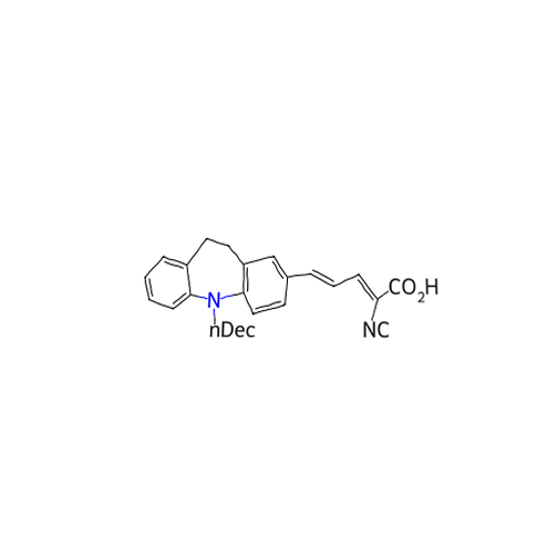 [C-]#[N+]/C(=C\C=C\c1ccc2c(c1)CCc1ccccc1N2CCCCCCCCCC)C(=O)O